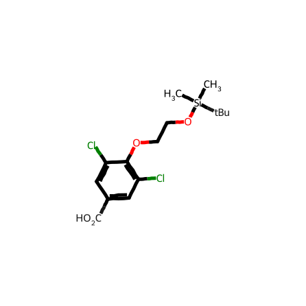 CC(C)(C)[Si](C)(C)OCCOc1c(Cl)cc(C(=O)O)cc1Cl